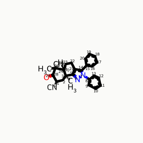 [C-]#[N+]C1C[C@]2(C)c3nn(-c4ccccc4)c(-c4ccccc4)c3CC[C@H]2C(C)(C)C1=O